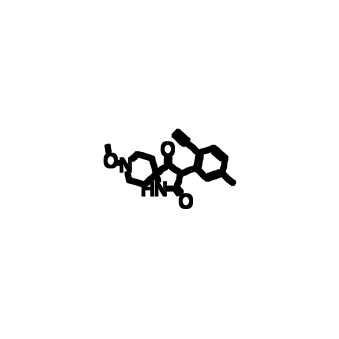 C#Cc1ccc(C)cc1C1C(=O)NC2(CCN(OC)CC2)C1=O